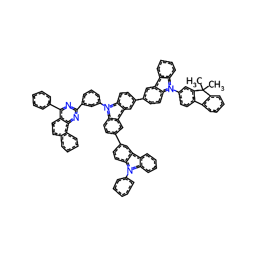 CC1(C)c2ccccc2-c2ccc(-n3c4ccccc4c4cc(-c5ccc6c(c5)c5cc(-c7ccc8c(c7)c7ccccc7n8-c7ccccc7)ccc5n6-c5cccc(-c6nc(-c7ccccc7)c7ccc8ccccc8c7n6)c5)ccc43)cc21